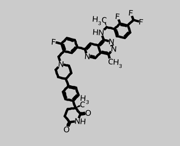 Cc1nnc(N[C@H](C)c2cccc(C(F)F)c2F)c2cc(-c3ccc(F)c(CN4CCC(c5ccc([C@@]6(C)CCC(=O)NC6=O)cc5)CC4)c3)ncc12